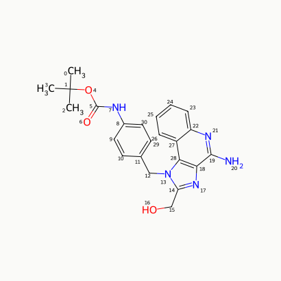 CC(C)(C)OC(=O)Nc1ccc(Cn2c(CO)nc3c(N)nc4ccccc4c32)cc1